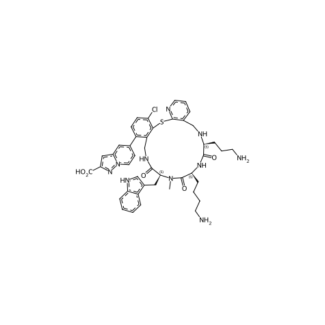 CN1C(=O)[C@H](CCCCN)NC(=O)[C@H](CCCN)NCc2cccnc2Sc2c(Cl)ccc(-c3ccn4nc(C(=O)O)cc4c3)c2CNC(=O)[C@@H]1Cc1c[nH]c2ccccc12